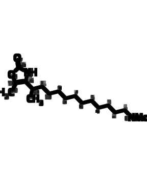 CNCCCCCCCCCCCC(C)c1[nH]c(=O)oc1C